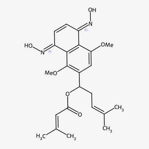 COc1cc(C(CC=C(C)C)OC(=O)C=C(C)C)c(OC)c2c1/C(=N/O)C=C/C2=N\O